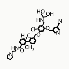 Cc1c(COc2cc(OCc3cncc(C#N)c3)c(CNC(CO)CO)cc2Cl)cccc1-c1cccc(C(=O)NCCN2CCCC2)c1C